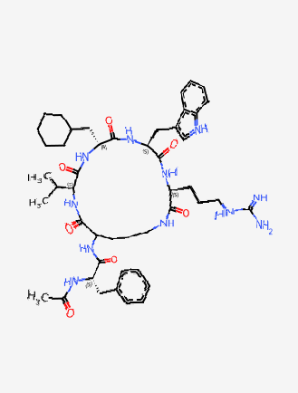 CC(=O)N[C@@H](Cc1ccccc1)C(=O)NC1CCCNC(=O)[C@H](CCCNC(=N)N)NC(=O)[C@H](Cc2c[nH]c3ccccc23)NC(=O)[C@@H](CC2CCCCC2)NC(=O)[C@H](C(C)C)NC1=O